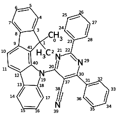 CC1(C)c2ccccc2-c2ccc3c4ccccc4n(-c4nc(-c5ccccc5)nc(-c5ccccc5)c4C#N)c3c21